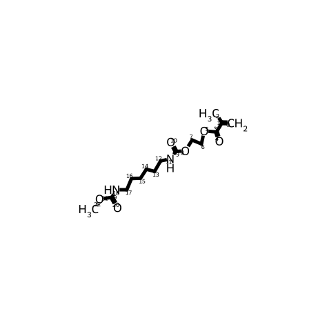 C=C(C)C(=O)OCCOC(=O)NCCCCCCNC(=O)OC